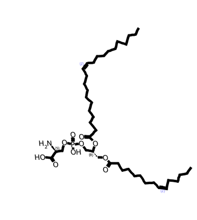 CCCCC/C=C\CCCCCCCC(=O)OC[C@H](COP(=O)(O)OC[C@H](N)C(=O)O)OC(=O)CCCCCCCCC/C=C\CCCCCCCCCC